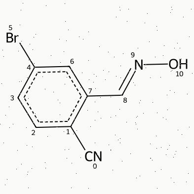 N#Cc1ccc(Br)cc1C=NO